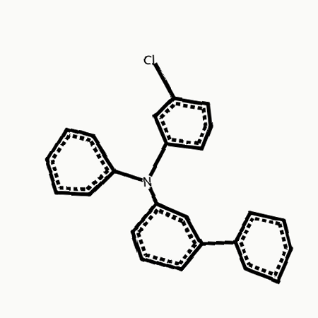 Clc1cccc(N(c2ccccc2)c2cccc(-c3ccccc3)c2)c1